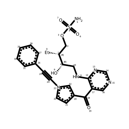 CC[C@H](COS(N)(=O)=O)[C@@H](O)CNc1ncncc1C(=O)c1ccn(C#Cc2ccccc2)c1